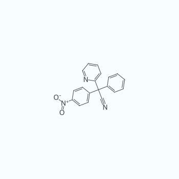 N#CC(c1ccccc1)(c1ccc([N+](=O)[O-])cc1)c1ccccn1